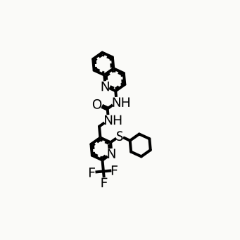 O=C(NCc1ccc(C(F)(F)F)nc1SC1CCCCC1)Nc1ccc2ccccc2n1